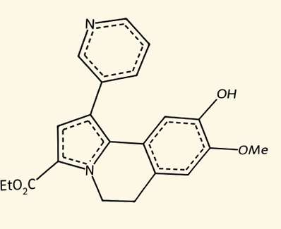 CCOC(=O)c1cc(-c2cccnc2)c2n1CCc1cc(OC)c(O)cc1-2